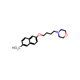 O=C(O)c1ccc2cc(OCCCCN3CCOCC3)ccc2c1